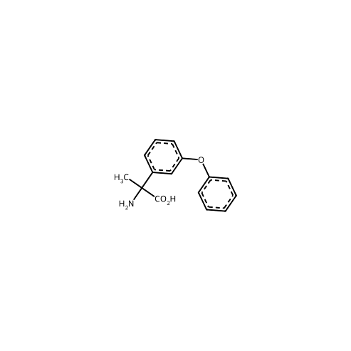 CC(N)(C(=O)O)c1cccc(Oc2ccccc2)c1